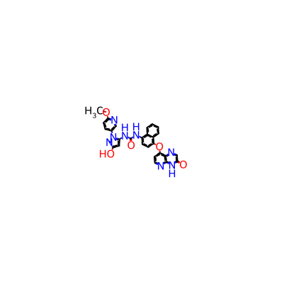 COc1ccc(-n2nc(O)cc2NC(=O)Nc2ccc(Oc3ccnc4[nH]c(=O)cnc34)c3ccccc23)cn1